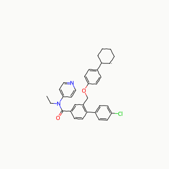 CCN(C(=O)c1ccc(-c2ccc(Cl)cc2)c(COc2ccc(C3[CH]CCCC3)cc2)c1)c1ccncc1